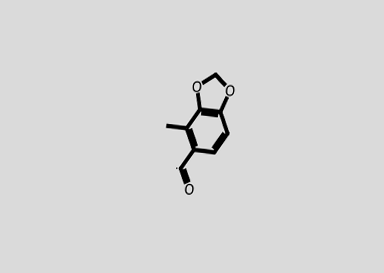 Cc1c([C]=O)ccc2c1OCO2